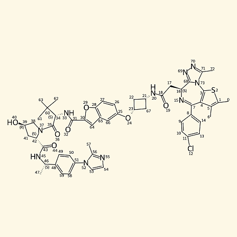 Cc1sc2c(c1C)C(c1ccc(Cl)cc1)=N[C@@H](CC(=O)N[C@H]1C[C@@H](Oc3ccc4oc(C(=O)N[C@H](C(=O)N5C[C@H](O)C[C@H]5C(=O)N[C@@H](C)c5ccc(-n6ccnc6C)cc5)C(C)(C)C)cc4c3)C1)c1nnc(C)n1-2